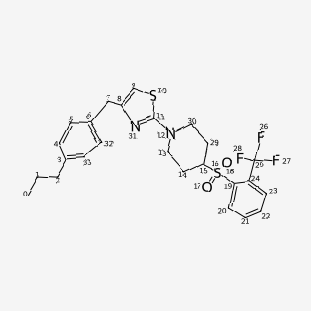 CCCc1ccc(Cc2csc(N3CCC(S(=O)(=O)c4ccccc4C(F)(F)F)CC3)n2)cc1